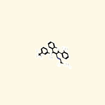 CC(=O)/C=C/c1c(-c2ccccc2O)nc2ccccc2c1Nc1cccc(C(F)(F)F)c1